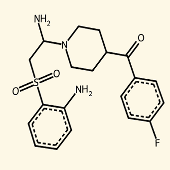 Nc1ccccc1S(=O)(=O)CC(N)N1CCC(C(=O)c2ccc(F)cc2)CC1